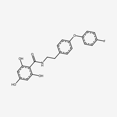 O=C(NCCc1ccc(Oc2ccc(F)cc2)cc1)c1c(O)cc(O)cc1O